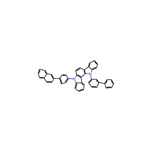 c1ccc(-c2cccc(-n3c4ccccc4c4ccc5c(c6ccccc6n5-c5ccc(-c6ccc7ccccc7c6)cc5)c43)c2)cc1